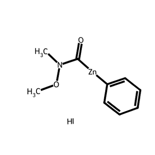 CON(C)[C](=O)[Zn][c]1ccccc1.I